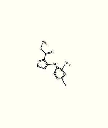 COC(=O)c1sccc1Nc1ccc(F)cc1N